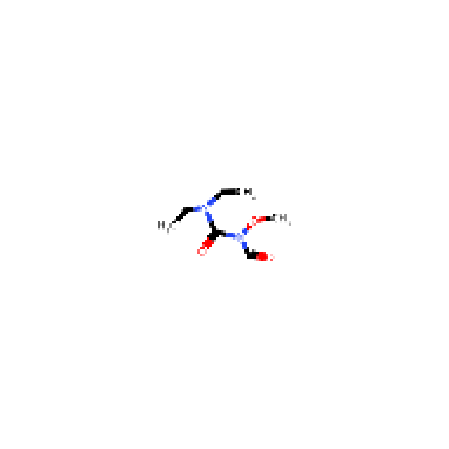 CCN(CC)C(=O)N(C=O)OC